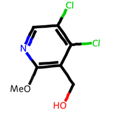 COc1ncc(Cl)c(Cl)c1CO